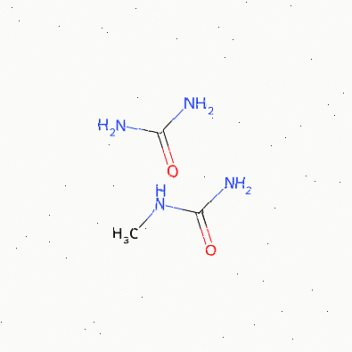 CNC(N)=O.NC(N)=O